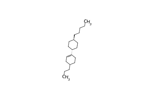 CCCCC[C@H]1CC[C@H](C2=CCC(CCC)CC2)CC1